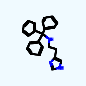 c1ccc(C(NCCc2c[nH]cn2)(c2ccccc2)c2ccccc2)cc1